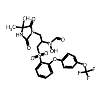 CC1(C)NC(=O)N(CC(CS(=O)(=O)c2ccccc2Oc2ccc(OC(F)(F)F)cc2)N(O)C=O)C1=O